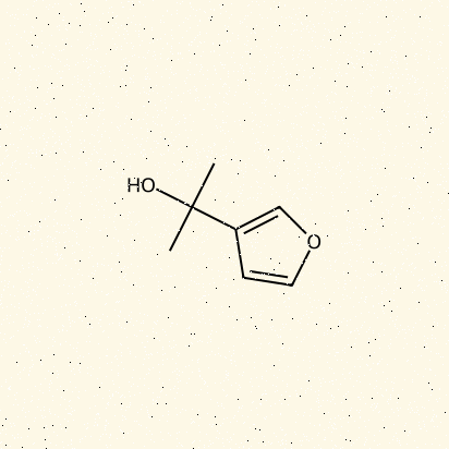 CC(C)(O)c1ccoc1